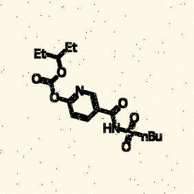 CCCCS(=O)(=O)NC(=O)c1ccc(OC(=O)OC(CC)CC)nc1